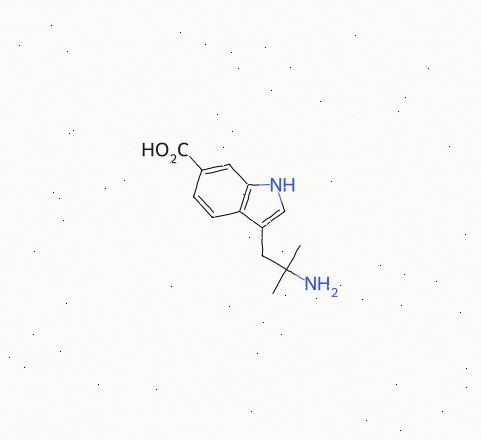 CC(C)(N)Cc1c[nH]c2cc(C(=O)O)ccc12